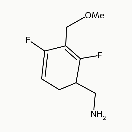 COCC1=C(F)C(CN)CC=C1F